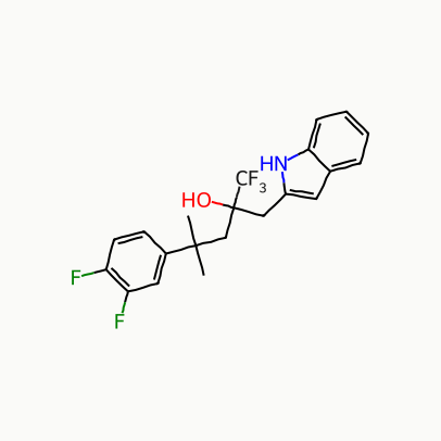 CC(C)(CC(O)(Cc1cc2ccccc2[nH]1)C(F)(F)F)c1ccc(F)c(F)c1